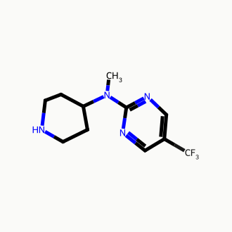 CN(c1ncc(C(F)(F)F)cn1)C1CCNCC1